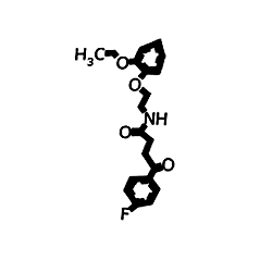 CCOc1ccccc1OCCNC(=O)CCC(=O)c1ccc(F)cc1